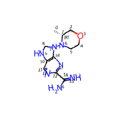 C[C@@H]1COCCN1N1CNc2cnc(C(=N)N)nc21